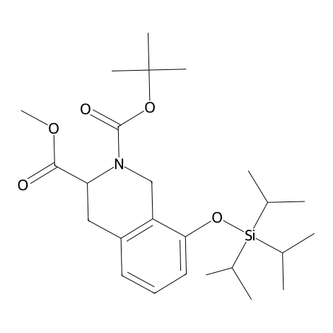 COC(=O)C1Cc2cccc(O[Si](C(C)C)(C(C)C)C(C)C)c2CN1C(=O)OC(C)(C)C